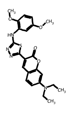 CCN(CC)c1ccc2cc(-c3nnc(Nc4cc(OC)ccc4OC)s3)c(=O)oc2c1